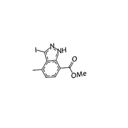 COC(=O)c1ccc(C)c2c(I)n[nH]c12